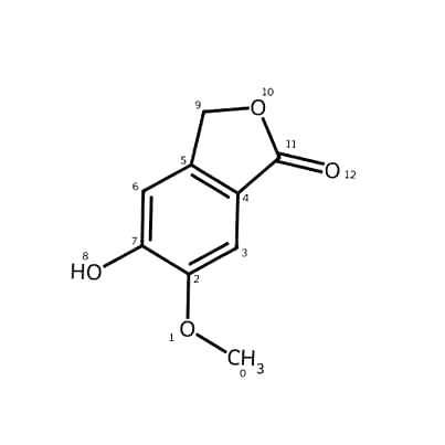 COc1cc2c(cc1O)COC2=O